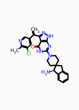 C=C(c1cnc(C)c(Cl)c1)c1n[nH]c2nc(N3CCC4(CC3)Cc3ccccc3[C@H]4N)[nH]c(=O)c12